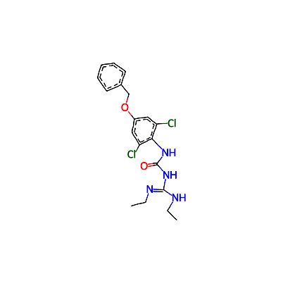 CCN=C(NCC)NC(=O)Nc1c(Cl)cc(OCc2ccccc2)cc1Cl